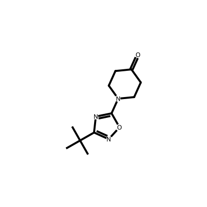 CC(C)(C)c1noc(N2CCC(=O)CC2)n1